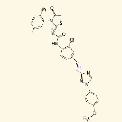 Cc1ccc(C(C)C)c(N2C(=O)CS/C2=N\C(=O)Nc2ccc(/C=C/c3ncn(-c4ccc(OC(F)(F)F)cc4)n3)cc2Cl)c1